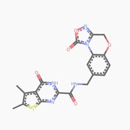 Cc1sc2nc(C(=O)NCc3ccc4c(c3)-n3c(noc3=O)CO4)[nH]c(=O)c2c1C